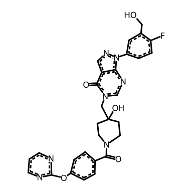 O=C(c1ccc(Oc2ncccn2)cc1)N1CCC(O)(Cn2cnc3c(cnn3-c3ccc(F)c(CO)c3)c2=O)CC1